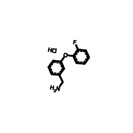 Cl.NCc1cccc(Oc2ccccc2F)c1